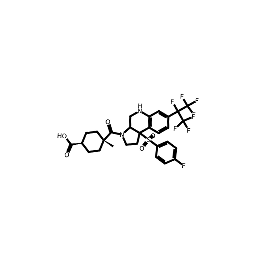 C[C@]1(C(=O)N2CCC3(S(=O)(=O)c4ccc(F)cc4)c4ccc(C(F)(C(F)(F)F)C(F)(F)F)cc4NCC23)CC[C@H](C(=O)O)CC1